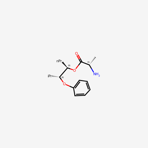 CCC[C@@H](OC(=O)[C@H](C)N)[C@H](Oc1ccccc1)C(C)C